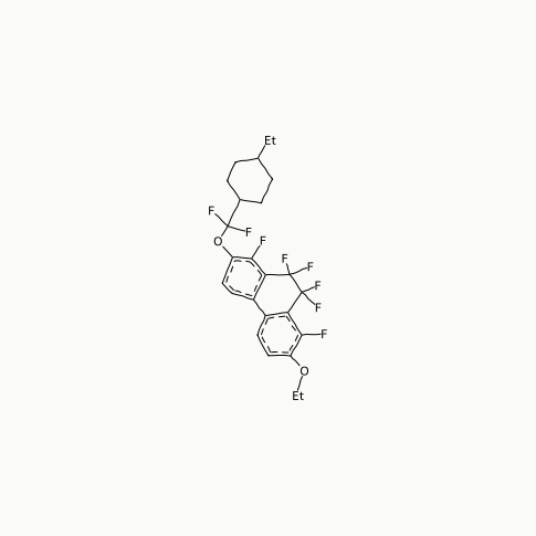 CCOc1ccc2c(c1F)C(F)(F)C(F)(F)c1c-2ccc(OC(F)(F)C2CCC(CC)CC2)c1F